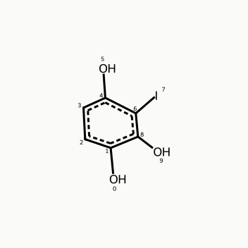 Oc1ccc(O)c(I)c1O